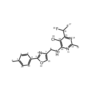 Cc1ccc(-c2nc(CNc3nc(C)nc(C(F)F)c3Cl)co2)cc1